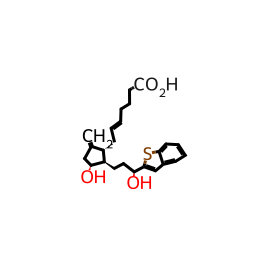 C=C1C[C@@H](O)[C@H](CC[C@@H](O)c2cc3ccccc3s2)[C@H]1CC=CCCCC(=O)O